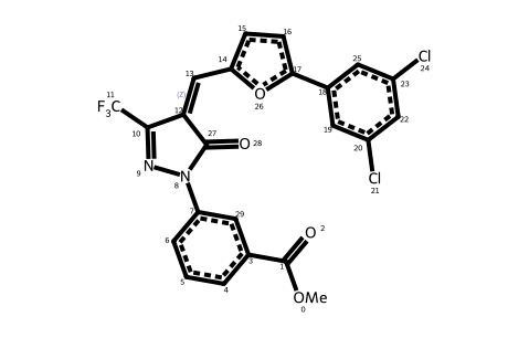 COC(=O)c1cccc(N2N=C(C(F)(F)F)/C(=C/c3ccc(-c4cc(Cl)cc(Cl)c4)o3)C2=O)c1